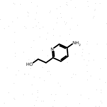 Nc1ccc(CCO)nc1